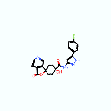 O=C1O[C@]2(CC[C@](O)(C(=O)Nc3cc(-c4ccc(F)cc4)[nH]n3)CC2)c2cnccc21